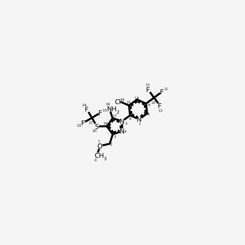 COCc1nn(-c2ncc(C(F)(F)F)cc2Cl)c(N)c1SC(F)(F)F